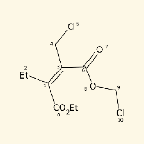 CCOC(=O)/C(CC)=C(/CCl)C(=O)OCCl